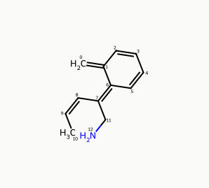 C=c1cccc/c1=C(/C=C\C)CN